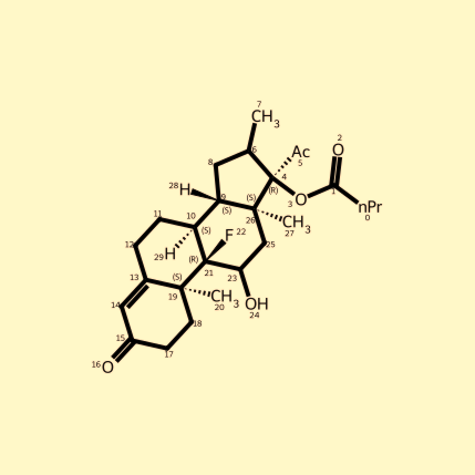 CCCC(=O)O[C@]1(C(C)=O)C(C)C[C@H]2[C@@H]3CCC4=CC(=O)CC[C@]4(C)[C@@]3(F)C(O)C[C@@]21C